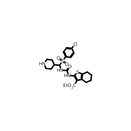 CCOC(=O)c1c(NC(=O)NC(C2CCNCC2)S(=O)(=O)c2ccc(Cl)cc2)sc2c1CCCC2